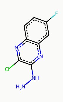 NNc1nc2cc(F)ccc2nc1Cl